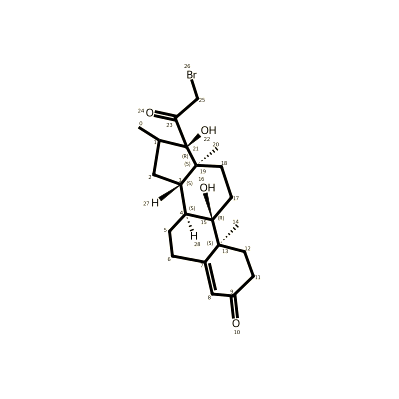 CC1C[C@H]2[C@@H]3CCC4=CC(=O)CC[C@]4(C)[C@@]3(O)CC[C@]2(C)[C@@]1(O)C(=O)CBr